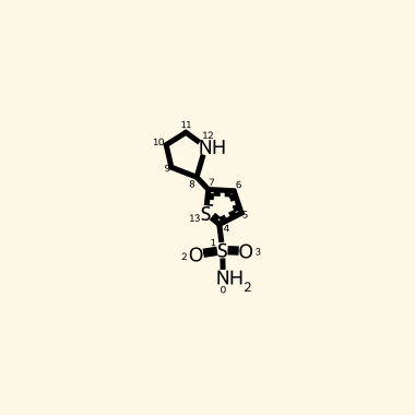 NS(=O)(=O)c1ccc(C2CCCN2)s1